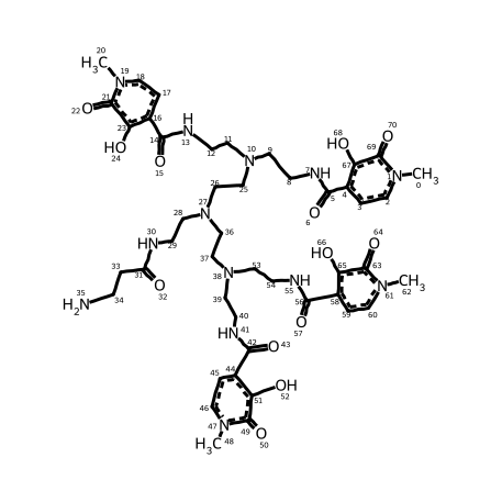 Cn1ccc(C(=O)NCCN(CCNC(=O)c2ccn(C)c(=O)c2O)CCN(CCNC(=O)CCN)CCN(CCNC(=O)c2ccn(C)c(=O)c2O)CCNC(=O)c2ccn(C)c(=O)c2O)c(O)c1=O